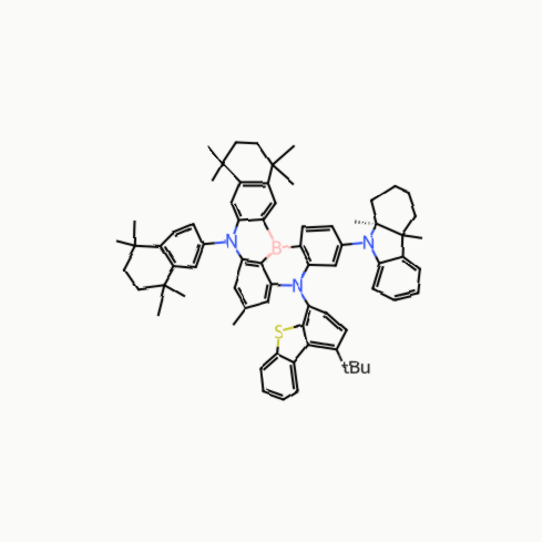 Cc1cc2c3c(c1)N(c1ccc(C(C)(C)C)c4c1sc1ccccc14)c1cc(N4c5ccccc5C5(C)CCCC[C@]45C)ccc1B3c1cc3c(cc1N2c1ccc2c(c1)C(C)(C)CCC2(C)C)C(C)(C)CCC3(C)C